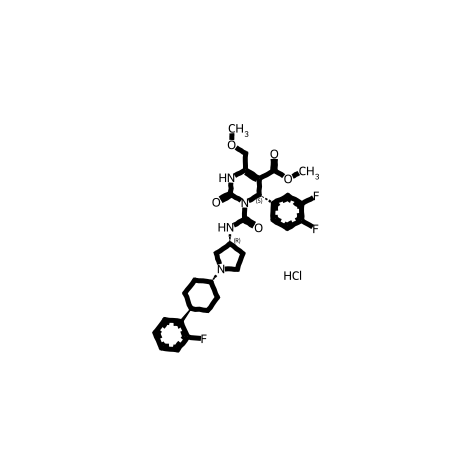 COCC1=C(C(=O)OC)[C@H](c2ccc(F)c(F)c2)N(C(=O)N[C@@H]2CCN([C@H]3CC[C@H](c4ccccc4F)CC3)C2)C(=O)N1.Cl